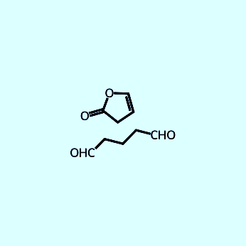 O=C1CC=CO1.O=CCCCC=O